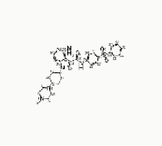 CN1CCN(C2CCC(n3cc(C(=O)Nc4ccc(S(=O)(=O)c5ccccc5)cc4)c4c(N)ncnc43)CC2)CC1